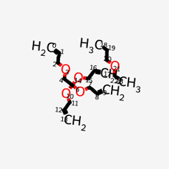 C=CCOCC(OCC=C)(OCC=C)OCC=C.CCCOCC